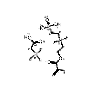 C=C(C)C(=O)OCC[N+](C)(C)CCP(=O)(O)O.C[N+](C)(C)CC(=O)O